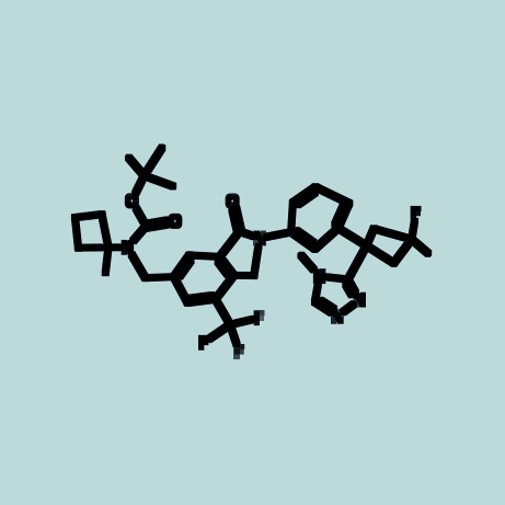 Cn1cnnc1C1(c2cccc(N3Cc4c(cc(CN(C(=O)OC(C)(C)C)C5(C)CCC5)cc4C(F)(F)F)C3=O)c2)CC(C)(F)C1